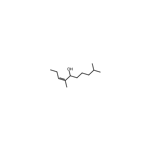 CCC=C(C)C(O)CCCC(C)C